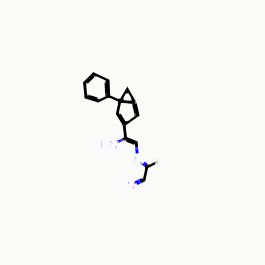 C/C(C=N)=N\C=C(/N)C1=CC2(c3ccccc3)CC2=C1